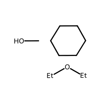 C1CCCCC1.CCOCC.CO